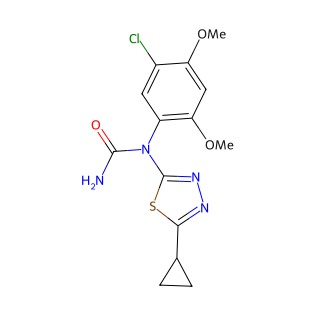 COc1cc(OC)c(N(C(N)=O)c2nnc(C3CC3)s2)cc1Cl